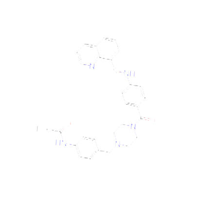 CC(=O)Nc1ccc(CN2CCN(C(=O)c3ccc(NSc4cccc5cccnc45)cc3)CC2)cc1